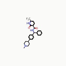 CN1CCC(c2ccc(C(NC(=O)c3ccc(C(F)(F)F)[nH]c3=O)c3ccccc3)cc2)CC1